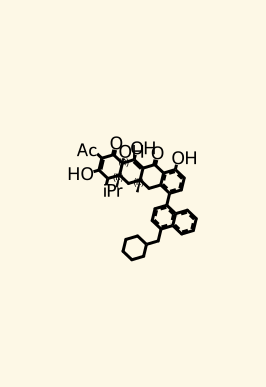 CC(=O)C1=C(O)C(C(C)C)[C@@]2(C)C[C@@]3(C)Cc4c(-c5ccc(CC6CCCCC6)c6ccccc56)ccc(O)c4C(=O)C3=C(O)[C@@]2(O)C1=O